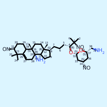 CC(C)(N=O)[C@@H](CCC[C@H]1CCC2[C@]1(C)CC[C@@]1(C)C3CC[C@H](N=O)C(C)(C)C3=CC[C@@]21N)O[C@H]1C[C@@H](N=O)C[C@@H](CN)O1